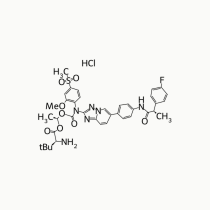 COc1cc(S(C)(=O)=O)ccc1N(C(=O)O[C@H](C)OC(=O)[C@@H](N)C(C)(C)C)c1nc2ccc(-c3ccc(NC(=O)[C@H](C)c4ccc(F)cc4)cc3)cn2n1.Cl